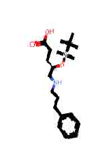 CC(C)(C)[Si](C)(C)O[C@H](CCC(=O)O)CNCCCc1ccccc1